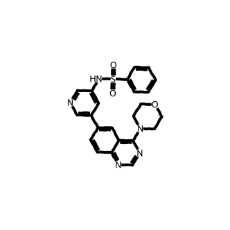 O=S(=O)(Nc1cncc(-c2ccc3ncnc(N4CCOCC4)c3c2)c1)c1ccccc1